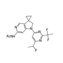 CC(=O)Nc1cc2c(cn1)C1(CC1)CN2c1cc(C(C)F)nc(C(C)(F)F)n1